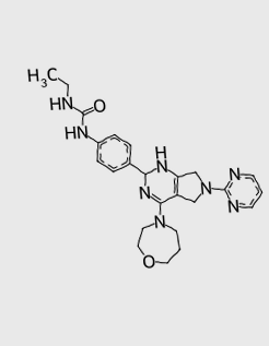 CCNC(=O)Nc1ccc(C2N=C(N3CCCOCC3)C3=C(CN(c4ncccn4)C3)N2)cc1